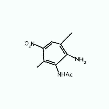 CC(=O)Nc1c(C)c([N+](=O)[O-])cc(C)c1N